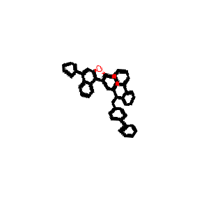 c1ccc(-c2ccc(CC(c3ccc4oc5cc(-c6ccccc6)c6ccccc6c5c4c3)c3ccccc3-c3ccccc3)cc2)cc1